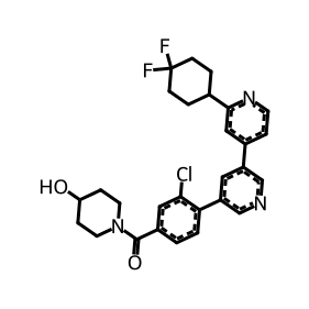 O=C(c1ccc(-c2cncc(-c3ccnc(C4CCC(F)(F)CC4)c3)c2)c(Cl)c1)N1CCC(O)CC1